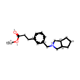 CC(C)(C)OC(=O)CCc1cccc(CN2CC3CCCC3C2)c1